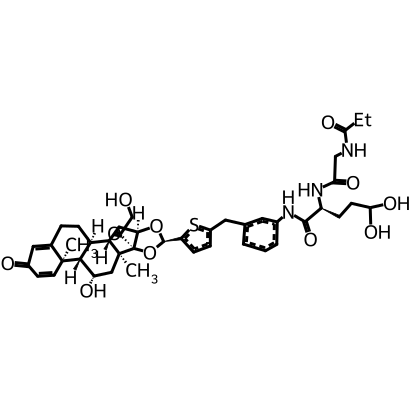 CCC(=O)NCC(=O)N[C@@H](CCC(O)O)C(=O)Nc1cccc(Cc2ccc([C@@H]3O[C@@H]4C[C@H]5[C@@H]6CCC7=CC(=O)C=C[C@]7(C)[C@H]6[C@@H](O)C[C@]5(C)[C@]4(C(=O)CO)O3)s2)c1